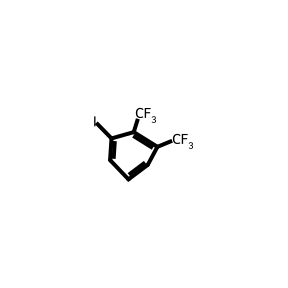 FC(F)(F)c1cccc(I)c1C(F)(F)F